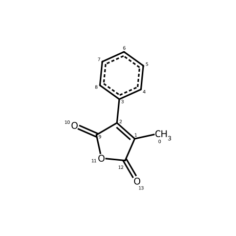 CC1=C(c2ccccc2)C(=O)OC1=O